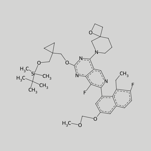 CCc1c(F)ccc2cc(OCOC)cc(-c3ncc4c(N5CCCC6(CCO6)C5)nc(OCC5(CO[Si](C)(C)C(C)(C)C)CC5)nc4c3F)c12